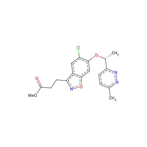 COC(=O)CCc1noc2cc(O[C@H](C)c3ccc(C)nn3)c(Cl)cc12